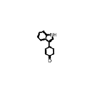 O=C1C=CC(c2c[nH]c3ccccc23)CC1